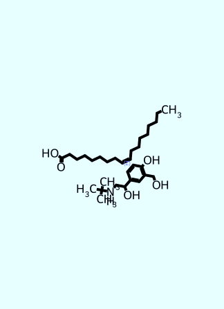 CC(C)(C)NCC(O)c1ccc(O)c(CO)c1.CCCCCCCC/C=C\CCCCCCCC(=O)O